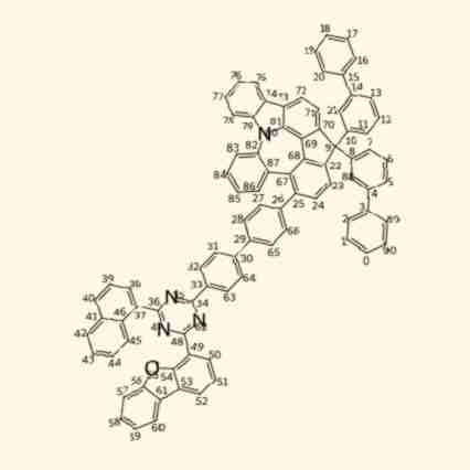 c1ccc(-c2cccc(C3(c4cccc(-c5ccccc5)c4)c4ccc(-c5ccc(-c6ccc(-c7nc(-c8cccc9ccccc89)nc(-c8cccc9c8oc8ccccc89)n7)cc6)cc5)c5c4-c4c3ccc3c6ccccc6n(c43)-c3ccccc3-5)c2)cc1